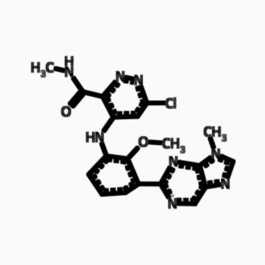 CNC(=O)c1nnc(Cl)cc1Nc1cccc(-c2ncc3ncn(C)c3n2)c1OC